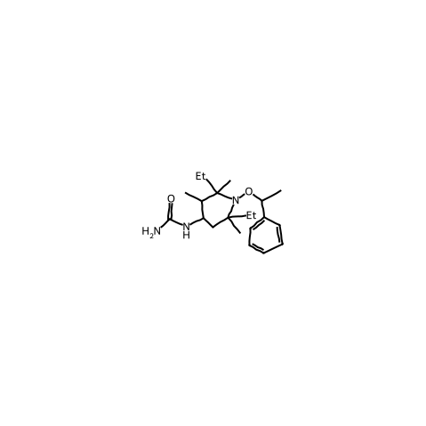 CCC1(C)CC(NC(N)=O)C(C)C(C)(CC)N1OC(C)c1ccccc1